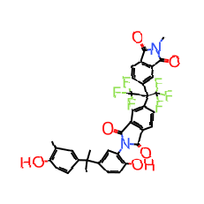 Cc1cc(C(C)(C)c2ccc(O)c(N3C(=O)c4ccc(C(c5ccc6c(c5)C(=O)N(C)C6=O)(C(F)(F)F)C(F)(F)F)cc4C3=O)c2)ccc1O